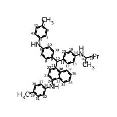 Cc1ccc(Nc2ccc(C(c3ccc(NC(C)C(C)C)cc3)c3ccc(Nc4ccc(C)cc4)c4ccccc34)cc2)cc1